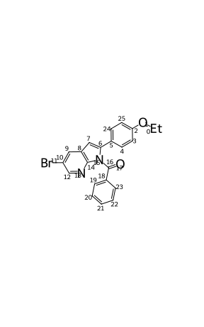 CCOc1ccc(-c2cc3cc(Br)cnc3n2C(=O)c2ccccc2)cc1